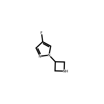 Fc1cnn(C2CNC2)c1